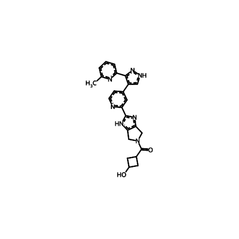 Cc1cccc(-c2n[nH]cc2-c2ccnc(-c3nc4c([nH]3)CN(C(=O)C3CC(O)C3)C4)c2)n1